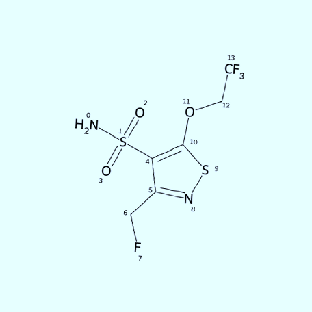 NS(=O)(=O)c1c(CF)nsc1OCC(F)(F)F